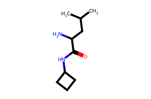 CC(C)CC(N)C(=O)NC1CCC1